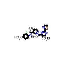 CCOC(=O)C1=C(CN2CCC(C)C(CN(C=O)c3ccc(C(=O)O)cc3F)C2)NC(C2=NCCS2)=NC1